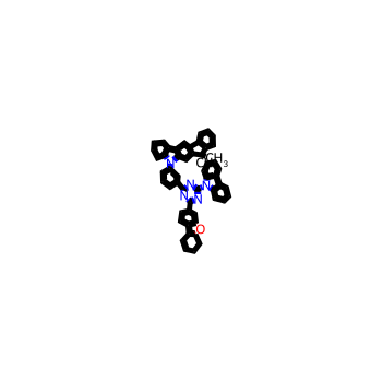 CC1(C)c2ccccc2-c2cc3c4ccccc4n(-c4cccc(-c5nc(-c6ccc7c8c(oc7c6)CCC=C8)nc(-n6c7ccccc7c7ccccc76)n5)c4)c3cc21